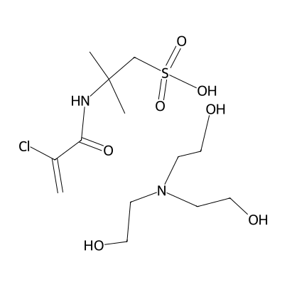 C=C(Cl)C(=O)NC(C)(C)CS(=O)(=O)O.OCCN(CCO)CCO